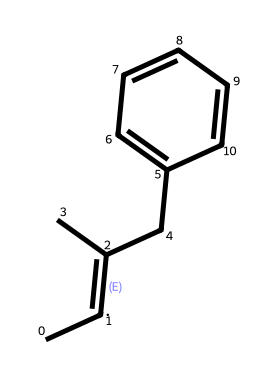 C/[C]=C(\C)Cc1ccccc1